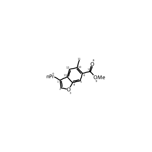 CCCc1coc2cc(C(=O)OC)c(C)cc12